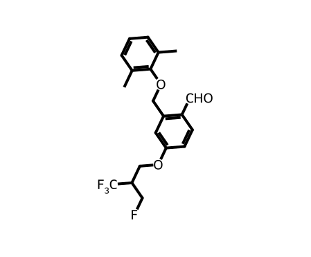 Cc1cccc(C)c1OCc1cc(OCC(CF)C(F)(F)F)ccc1C=O